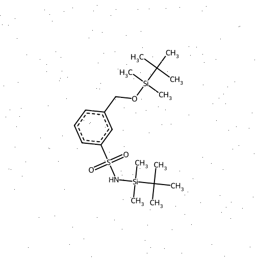 CC(C)(C)[Si](C)(C)NS(=O)(=O)c1cccc(CO[Si](C)(C)C(C)(C)C)c1